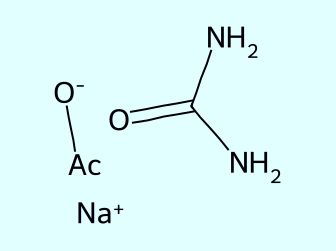 CC(=O)[O-].NC(N)=O.[Na+]